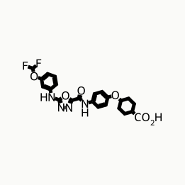 O=C(Nc1ccc(OC2CCC(C(=O)O)CC2)cc1)c1nnc(Nc2cccc(OC(F)F)c2)o1